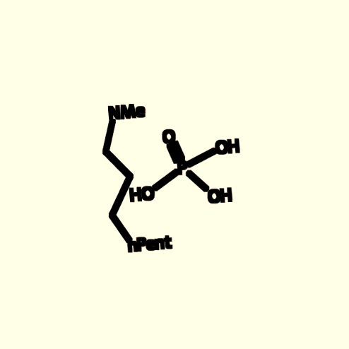 CCCCCCCCNC.O=P(O)(O)O